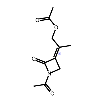 CC(=O)OC/C(C)=C1/CN(C(C)=O)C1=O